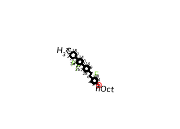 CCCCCCCCOc1ccc(CCc2ccc(-c3ccc(C4CCC(C)CC4)c(F)c3F)cc2)c(F)c1